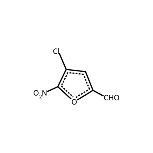 O=Cc1cc(Cl)c([N+](=O)[O-])o1